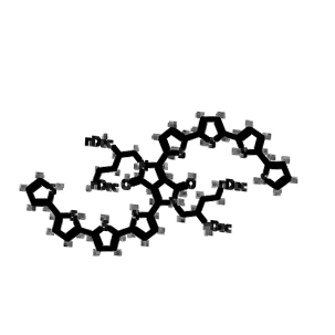 CCCCCCCCCCCCC(CCCCCCCCCC)CN1C(=O)C2=C(c3ccc(-c4ccc(-c5ccc(-c6cccs6)s5)s4)s3)N(CC(CCCCCCCCCC)CCCCCCCCCCCC)C(=O)C2=C1c1ccc(-c2ccc(-c3ccc(-c4cccs4)s3)s2)s1